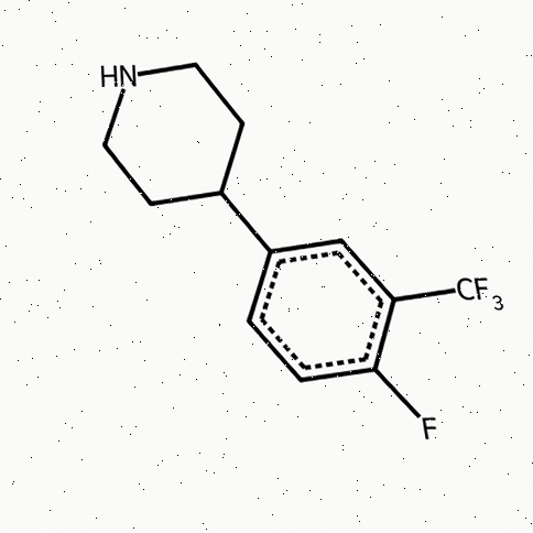 Fc1ccc(C2CCNCC2)cc1C(F)(F)F